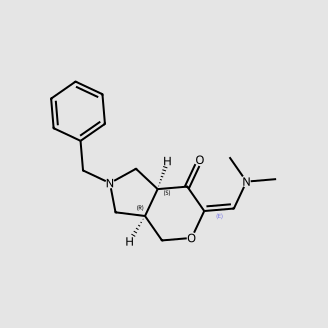 CN(C)/C=C1/OC[C@H]2CN(Cc3ccccc3)C[C@H]2C1=O